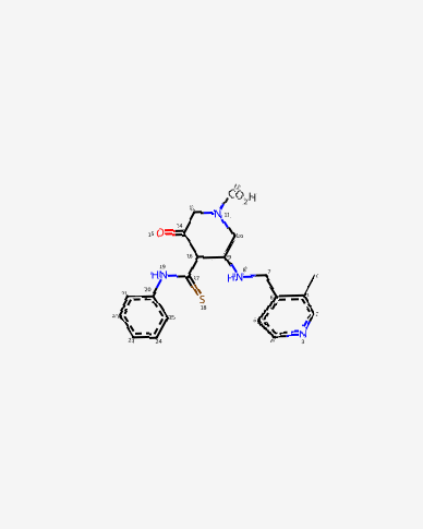 Cc1cnccc1CNC1CN(C(=O)O)CC(=O)C1C(=S)Nc1ccccc1